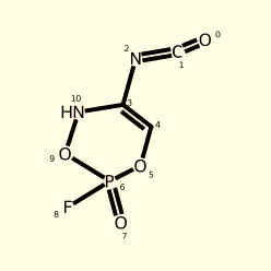 O=C=NC1=COP(=O)(F)ON1